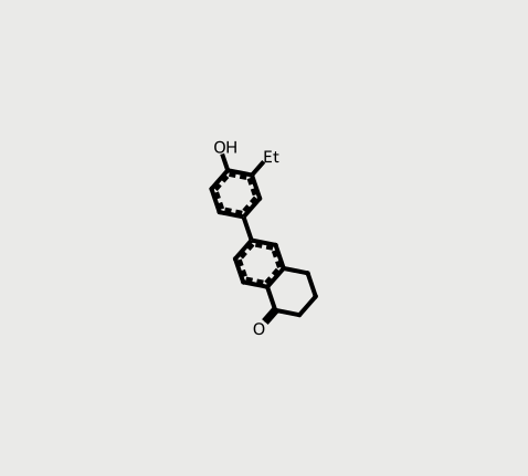 CCc1cc(-c2ccc3c(c2)CCCC3=O)ccc1O